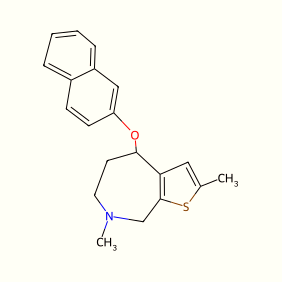 Cc1cc2c(s1)CN(C)CCC2Oc1ccc2ccccc2c1